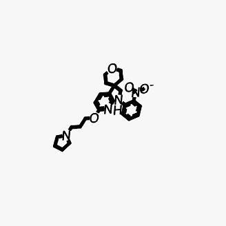 O=[N+]([O-])c1ccccc1NCC1(c2ccc(OCCCN3CCCC3)nc2)CCOCC1